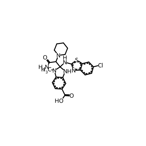 CN1c2ccc(C(=O)O)cc2NC1(Nc1nc2ccc(Cl)cc2s1)C(C(N)=O)N1CCCCC1